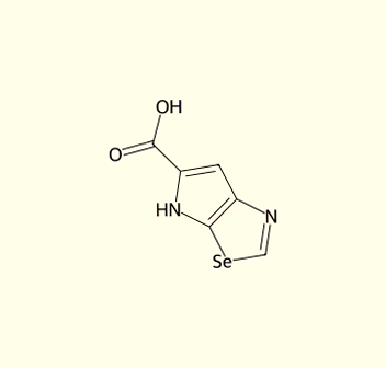 O=C(O)c1cc2nc[se]c2[nH]1